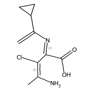 C=C(/N=C(C(=O)O)\C(Cl)=C(\C)N)C1CC1